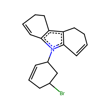 BrC1CC=CC(n2c3c(c4c2C=CCC4)CCC=C3)C1